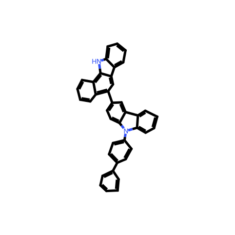 c1ccc(-c2ccc(-n3c4ccccc4c4cc(-c5cc6c7ccccc7[nH]c6c6ccccc56)ccc43)cc2)cc1